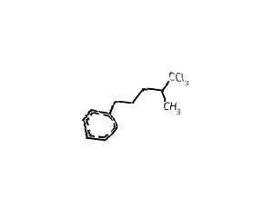 CC(CCCc1ccccc1)C(Cl)(Cl)Cl